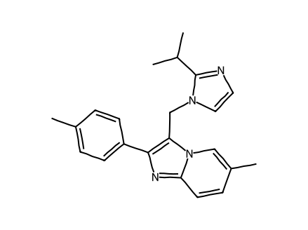 Cc1ccc(-c2nc3ccc(C)cn3c2Cn2ccnc2C(C)C)cc1